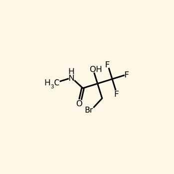 CNC(=O)C(O)(CBr)C(F)(F)F